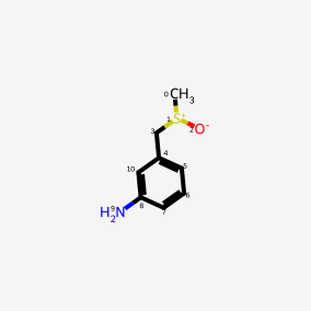 C[S+]([O-])Cc1cccc(N)c1